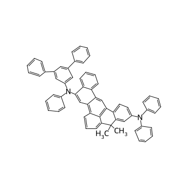 CC1(C)c2cc(N(c3ccccc3)c3ccccc3)ccc2-c2cc3c4ccccc4c(N(c4ccccc4)c4cc(-c5ccccc5)cc(-c5ccccc5)c4)cc3c3cccc1c23